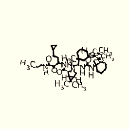 CCCNC(=O)C(=O)C(CCC1CC1)NC(=O)[C@@H]1[C@@H]2[C@H](CN1C(=O)[C@@H](NC(=O)NC1(CS(=O)(=O)C(C)(C)C)CCCCC1)C1(C)CCCCC1)C2(C)C